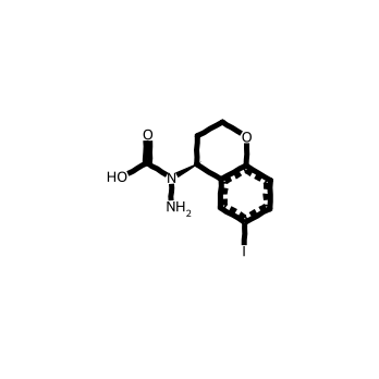 NN(C(=O)O)[C@H]1CCOc2ccc(I)cc21